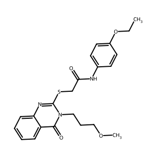 CCOc1ccc(NC(=O)CSc2nc3ccccc3c(=O)n2CCCOC)cc1